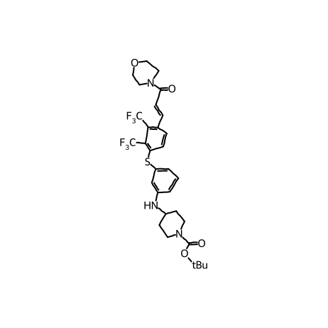 CC(C)(C)OC(=O)N1CCC(Nc2cccc(Sc3ccc(/C=C/C(=O)N4CCOCC4)c(C(F)(F)F)c3C(F)(F)F)c2)CC1